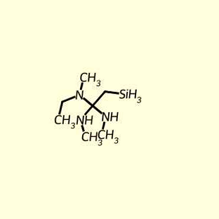 CCN(C)C(C[SiH3])(NC)NC